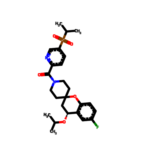 CC(C)O[C@@H]1CC2(CCN(C(=O)c3ccc(S(=O)(=O)C(C)C)cn3)CC2)Oc2ccc(F)cc21